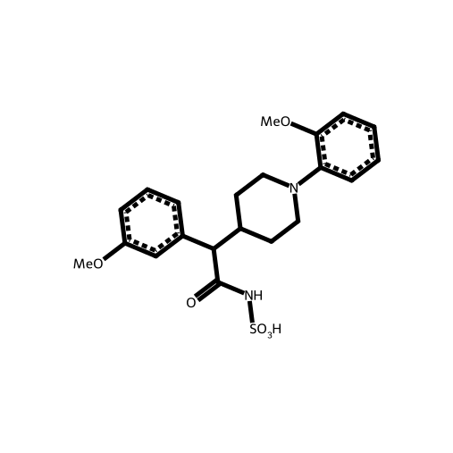 COc1cccc(C(C(=O)NS(=O)(=O)O)C2CCN(c3ccccc3OC)CC2)c1